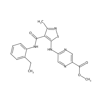 CCc1ccccc1NC(=O)c1c(C)nsc1Nc1cnc(C(=O)OC)cn1